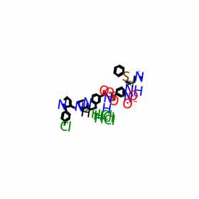 CN(C)CC[C@H](CSc1ccccc1)Nc1ccc(S(=O)(=O)NC(=O)c2ccc3c(c2)CC[C@H]2CN(Cc4cccnc4-c4ccc(Cl)cc4)CCN32)cc1[N+](=O)[O-].Cl.Cl.Cl